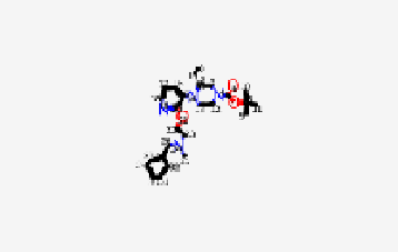 CC[C@@H]1CN(C(=O)OC(C)(C)C)CCN1c1cccnc1OCCN(C)Cc1ccccc1